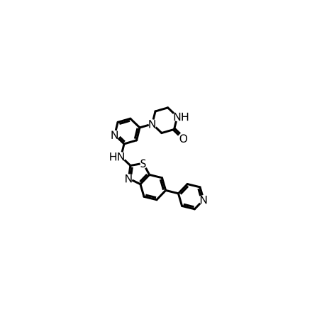 O=C1CN(c2ccnc(Nc3nc4ccc(-c5ccncc5)cc4s3)c2)CCN1